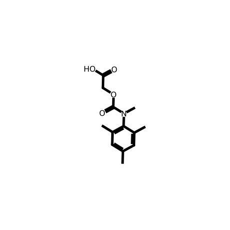 Cc1cc(C)c(N(C)C(=O)OCC(=O)O)c(C)c1